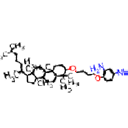 CC(C)CCCC(C)C1CC[C@@]2(C)C3CCC4C(C)(C)C(OCCCCOc5ccc(N)cc5N)CCC4(C)C3CCC12C